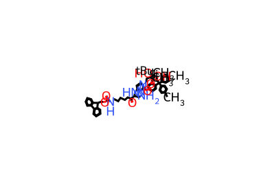 Cc1ccc(C(c2ccccc2)(c2ccc(C)cc2)C(O)[C@H]2O[C@@H](n3ccc(NC(CN)C(=O)CCCCCNC(=O)OCC4c5ccccc5-c5ccccc54)nc3=O)C[C@@]2(O)[Si](C)(C)C(C)(C)C)cc1